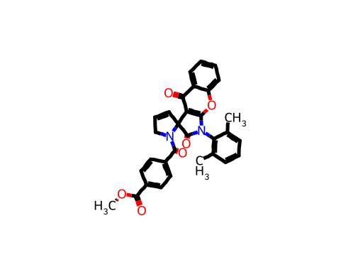 COC(=O)c1ccc(C(=O)N2CC=CC23C(=O)N(c2c(C)cccc2C)c2oc4ccccc4c(=O)c23)cc1